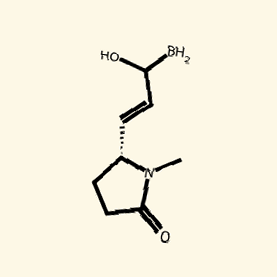 BC(O)/C=C/[C@H]1CCC(=O)N1C